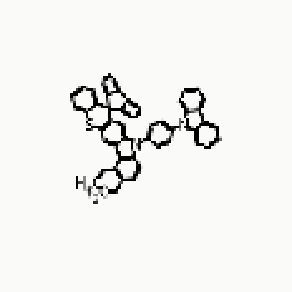 C=Cc1ccc2c(c1C=C)c1cc3c(cc1n2-c1ccc(-n2c4ccccc4c4ccccc42)cc1)C1(c2ccccc2S3)c2ccccc2-c2ccccc21